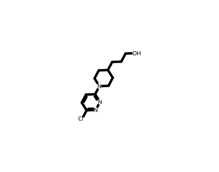 OCCCC1CCN(c2ccc(Cl)nn2)CC1